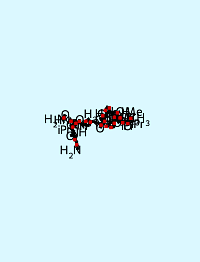 CCC(C)C(C(CC(=O)N1CCCC1C(OC)C(C)C(=O)N[C@@H](Cc1ccccc1)C(=O)NCCc1ccc(NC(=O)C(CCCNC(N)=O)NC(=O)[C@H](NC(=O)CCCCCN)C(C)C)cc1)OC)N(C)C(=O)[C@@H](NC(=O)C(C(C)C)N(C)C)C(C)C